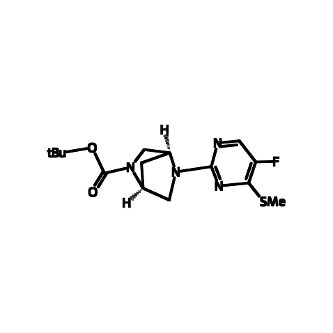 CSc1nc(N2C[C@@H]3C[C@H]2CN3C(=O)OC(C)(C)C)ncc1F